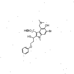 CCOC(=O)c1c(C(S)CCOc2ccccc2)n(C)c2cc(Br)c(O)c(CN(C)C)c12.Cl